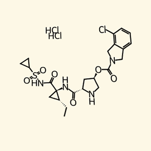 CC[C@@H]1C[C@]1(NC(=O)[C@@H]1C[C@@H](OC(=O)N2Cc3cccc(Cl)c3C2)CN1)C(=O)NS(=O)(=O)C1CC1.Cl.Cl